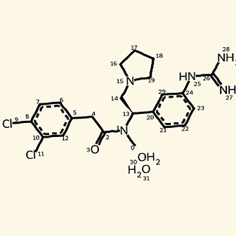 CN(C(=O)Cc1ccc(Cl)c(Cl)c1)[C@@H](CN1CCCC1)c1cccc(NC(=N)N)c1.O.O